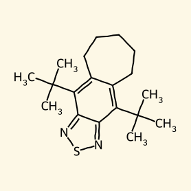 CC(C)(C)c1c2c(c(C(C)(C)C)c3nsnc13)CCCCC2